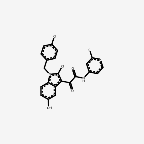 O=C(Nc1ccnc(Cl)c1)C(=O)c1c(Cl)n(Cc2ccc(Cl)cc2)c2ccc(O)cc12